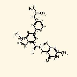 CCCc1cc(C)[nH]c(=O)c1CNC(=O)c1cc(-c2cccc(CN(C)C)c2)cc2c1cnn2C(C)C